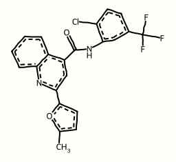 Cc1ccc(-c2cc(C(=O)Nc3cc(C(F)(F)F)ccc3Cl)c3ccccc3n2)o1